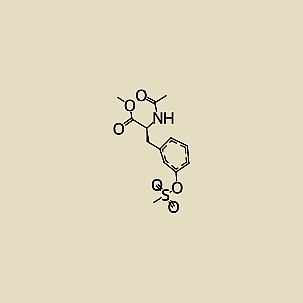 COC(=O)[C@H](Cc1cccc(OS(C)(=O)=O)c1)NC(C)=O